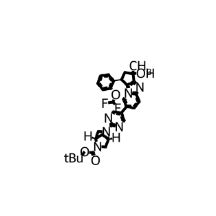 CC(C)(C)OC(=O)N1C[C@@H]2C[C@H]1CN2c1ncc(-c2ccc3nc4c(n3c2)[C@@H](c2ccccc2OC(F)F)CC4(C)O)cn1